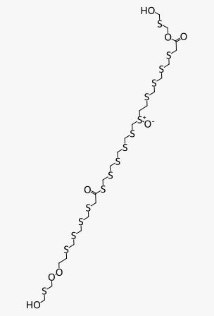 O=C(CSCSCSCSCC[S+]([O-])CSCSCSCSCSC(=O)CSCSCSCSCCOOCSCO)OCSCO